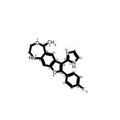 CC1OCCNc2cc3oc(-c4ccc(F)cc4)c(-c4ncc[nH]4)c3cc21